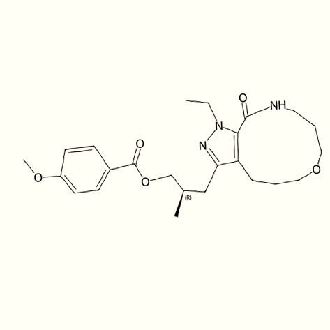 CCn1nc(C[C@@H](C)COC(=O)c2ccc(OC)cc2)c2c1C(=O)NCCCOCCC2